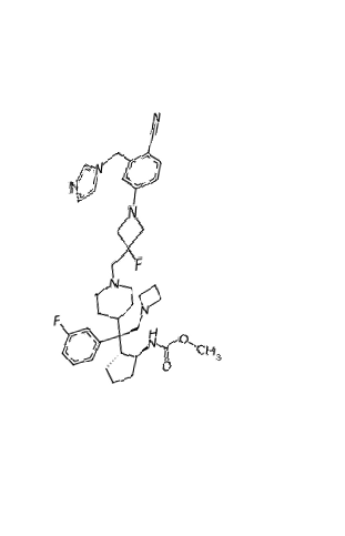 COC(=O)N[C@H]1CCC[C@@H]1[C@](CN1CCC1)(c1cccc(F)c1)C1CCN(CC2(F)CN(c3ccc(C#N)c(Cn4ccnc4)c3)C2)CC1